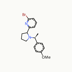 COc1ccc([C@H](C)N2CCCC2c2cccc(Br)n2)cc1